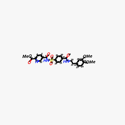 COC(=O)c1ccc(C(=O)NS(=O)(=O)c2ccc(C(=O)NCCc3ccc(OC)c(OC)c3)cc2)cn1